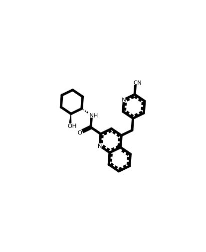 N#Cc1ccc(Cc2cc(C(=O)N[C@H]3CCCC[C@@H]3O)nc3ccccc23)cn1